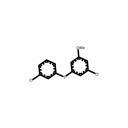 COc1cc(Cl)cc(Sc2cccc(Cl)c2)c1